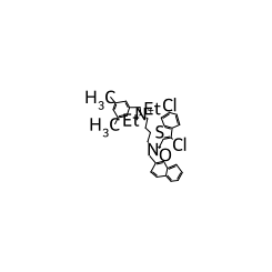 CC[N+](CC)(CCCCN(Cc1ccc2ccccc2c1)C(=O)c1sc2cc(Cl)ccc2c1Cl)Cc1cc(C)cc(C)c1